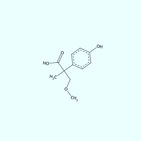 COCC(C)(C(=O)O)c1ccc(O)cc1